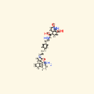 NC(=O)C(c1ccccc1)(c1ccccc1)[C@@H]1CCN(CCCCc2ccc(CCNC[C@H](O)c3ccc(O)c4[nH]c(=O)ccc34)cc2)C1